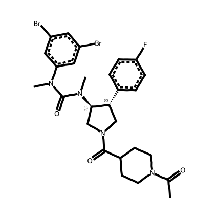 CC(=O)N1CCC(C(=O)N2C[C@@H](N(C)C(=O)N(C)c3cc(Br)cc(Br)c3)[C@H](c3ccc(F)cc3)C2)CC1